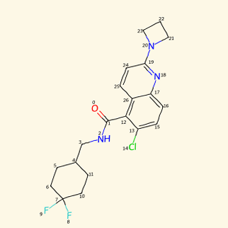 O=C(NCC1CCC(F)(F)CC1)c1c(Cl)ccc2nc(N3CCC3)ccc12